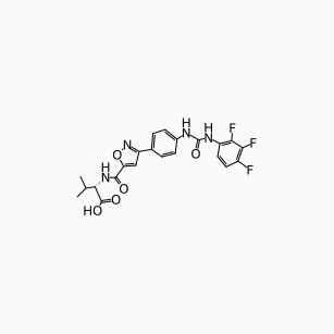 CC(C)[C@H](NC(=O)c1cc(-c2ccc(NC(=O)Nc3ccc(F)c(F)c3F)cc2)no1)C(=O)O